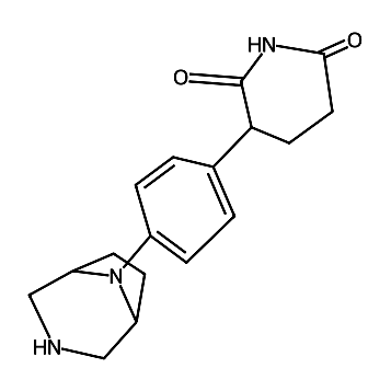 O=C1CCC(c2ccc(N3C4CCC3CNC4)cc2)C(=O)N1